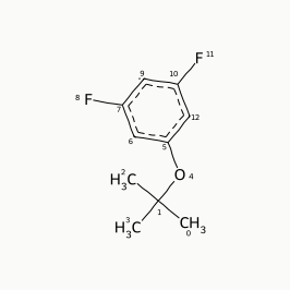 CC(C)(C)Oc1cc(F)[c]c(F)c1